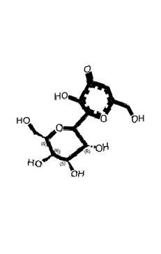 O=c1cc(CO)oc(C2O[C@H](CO)[C@H](O)[C@H](O)[C@H]2O)c1O